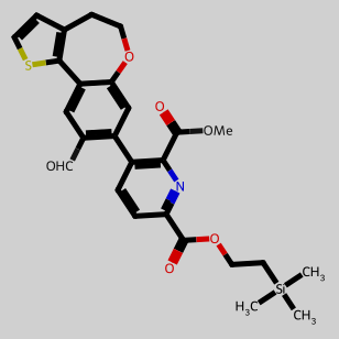 COC(=O)c1nc(C(=O)OCC[Si](C)(C)C)ccc1-c1cc2c(cc1C=O)-c1sccc1CCO2